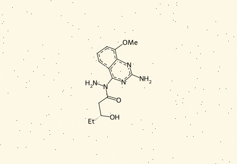 CC[C@@H](O)CC(=O)N(N)c1nc(N)nc2c(OC)cccc12